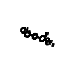 C=CC1CCC(c2ccc(C3CCC(OC(F)(F)F)C(F)C3)cc2)CC1